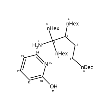 CCCCCCCCCCCCC(CCCCCC)C(N)(CCCCCC)CCCCCC.Oc1ccccn1